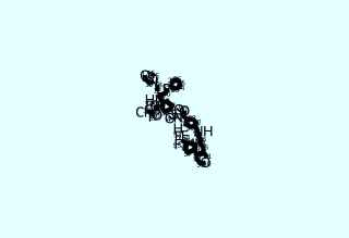 O=C(NS(=O)(=O)c1ccc(N[C@H](CCN2CCOCC2)CSc2ccccc2)c(S(=O)(=O)C(F)(F)Cl)c1)c1ccc(NCCNCC2=C(c3ccc(C(F)(F)F)cc3)CCOC2)cc1